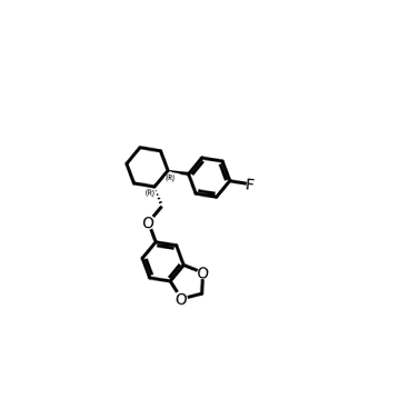 Fc1ccc([C@@H]2CCCC[C@H]2COc2ccc3c(c2)OCO3)cc1